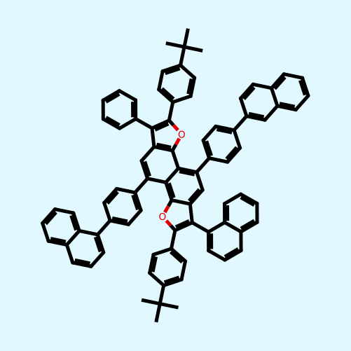 CC(C)(C)c1ccc(-c2oc3c(cc(-c4ccc(-c5cccc6ccccc56)cc4)c4c5oc(-c6ccc(C(C)(C)C)cc6)c(-c6cccc7ccccc67)c5cc(-c5ccc(-c6ccc7ccccc7c6)cc5)c34)c2-c2ccccc2)cc1